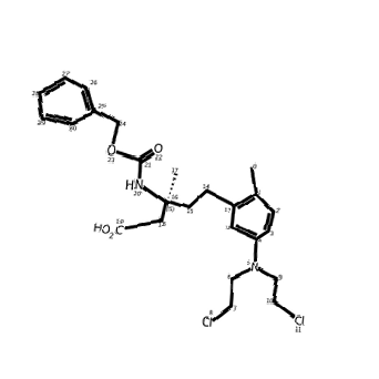 Cc1ccc(N(CCCl)CCCl)cc1CC[C@@](C)(CC(=O)O)NC(=O)OCc1ccccc1